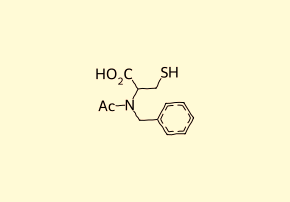 CC(=O)N(Cc1ccccc1)C(CS)C(=O)O